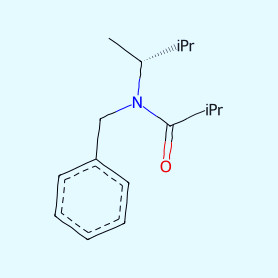 CC(C)C(=O)N(Cc1ccccc1)[C@H](C)C(C)C